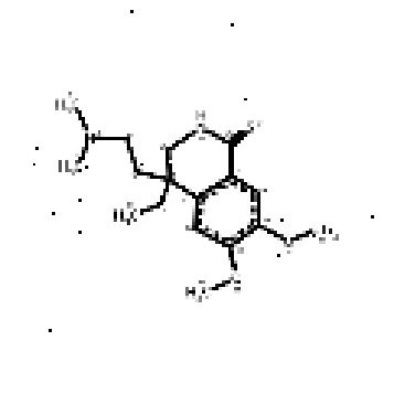 CCC1(CCN(C)C)CNC(=S)c2cc(OC)c(OC)cc21